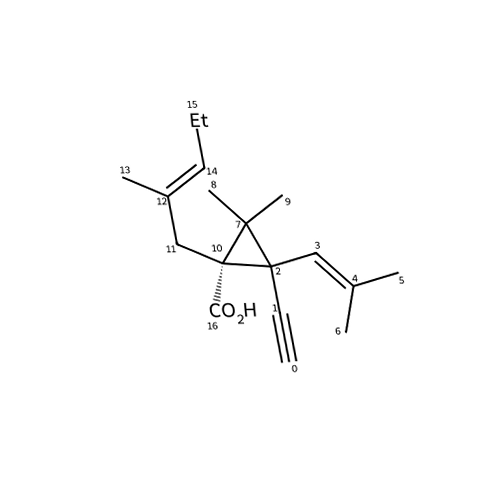 C#CC1(C=C(C)C)C(C)(C)[C@@]1(CC(C)=CCC)C(=O)O